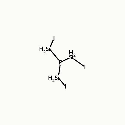 I[SiH2]P([SiH2]I)[SiH2]I